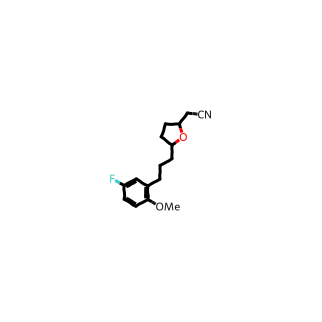 COc1ccc(F)cc1CCCC1CCC(CC#N)O1